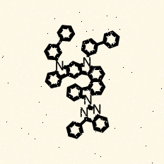 c1ccc(-c2cccc(-n3c4ccccc4c4cc5c6c7c(ccc6n(-c6cccc(-c8ccccc8)c6)c5cc43)ccc3c7c4ccccc4n3-c3nc(-c4ccccc4)c4ccccc4n3)c2)cc1